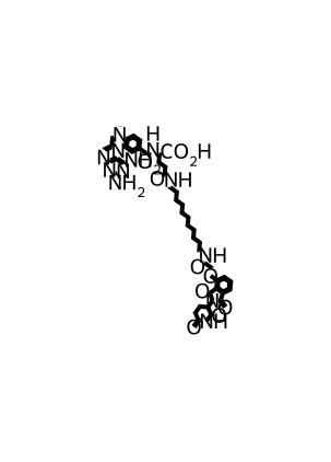 CN(Cc1cnc2nc(N)nc(N)c2n1)c1ccc(C(=O)N[C@@H](CCC(=O)NCCCCCCCCCCCNC(=O)COc2cccc3c2C(=O)N(C2CCC(=O)NC2=O)C3=O)C(=O)O)cc1